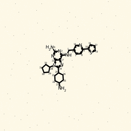 Nc1nc(NCc2ccc(-c3cccs3)nc2)c2nc(C3CCC(N)CC3)n(C3CCCC3)c2n1